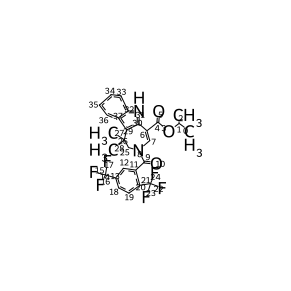 CC(C)OC(=O)C1=CN(C(=O)c2cc(C(F)(F)F)ccc2C(F)(F)F)CC(C)(C)c2c1[nH]c1ccccc21